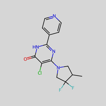 CC1CN(c2nc(-c3ccncc3)[nH]c(=O)c2Cl)CC1(F)F